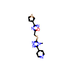 Cn1c(SCc2nc(-c3ccsc3)no2)nnc1-c1ccncc1